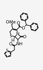 COCC1=C(C(=O)OC(c2ccccc2)c2ccccc2)N2C(=O)C(NC(=O)Cc3cccs3)[C@@H]2SC1